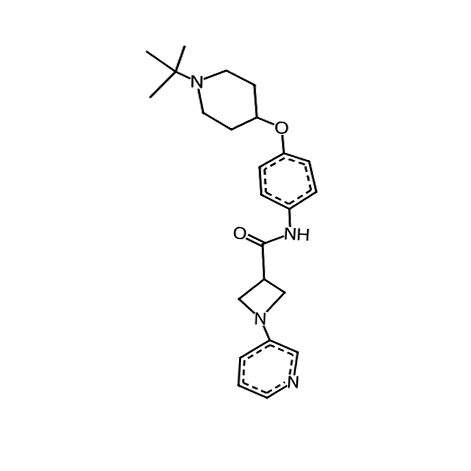 CC(C)(C)N1CCC(Oc2ccc(NC(=O)C3CN(c4cccnc4)C3)cc2)CC1